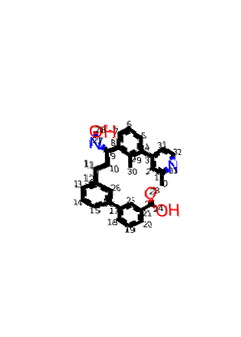 Cc1cc(-c2cccc(/C(CCc3cccc(-c4cccc(C(=O)O)c4)c3)=N\O)c2C)ccn1